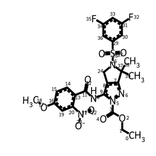 CCOC(=O)n1nc2c(c1NC(=O)c1ccc(OC)cc1[N+](=O)[O-])CN(S(=O)(=O)c1cc(F)cc(F)c1)C2(C)C